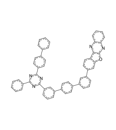 c1ccc(-c2ccc(-c3nc(-c4ccccc4)nc(-c4cccc(-c5ccc(-c6cccc(-c7ccc8c(c7)oc7nc9ccccc9nc78)c6)cc5)c4)n3)cc2)cc1